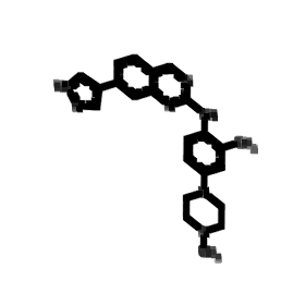 Cc1cc(N2CCN(C)CC2)ccc1Nc1ncc2ccc(-c3cn[nH]c3)cc2n1